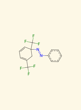 FC(F)(F)C1=CC=CC(N=Nc2ccccc2)(C(F)(F)F)C1